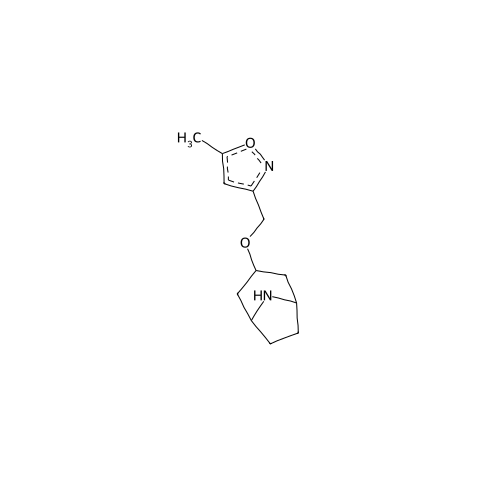 Cc1cc(COC2CC3CCC(C2)N3)no1